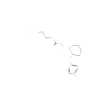 COCCNC(=O)CS[C@@H]1CCCC[C@H]1Sc1ccc(Br)cc1